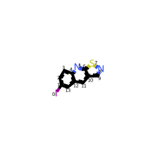 Ic1ccc2nc3sncc3cc2c1